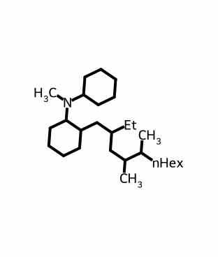 CCCCCCC(C)C(C)CC(CC)CC1CCCCC1N(C)C1CCCCC1